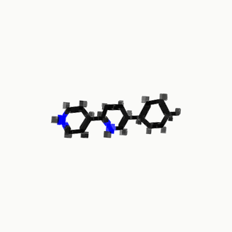 Cc1ccc(-c2ccc(-c3ccncc3)nc2)cc1